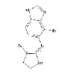 CC(=O)N1CCN/C1=N/c1ccc2[nH]cnc2c1Br